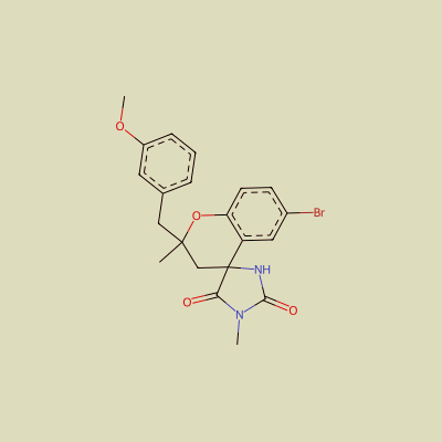 COc1cccc(CC2(C)CC3(NC(=O)N(C)C3=O)c3cc(Br)ccc3O2)c1